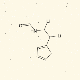 [Li][CH](NC=O)[CH]([Li])C1=CC=CC1